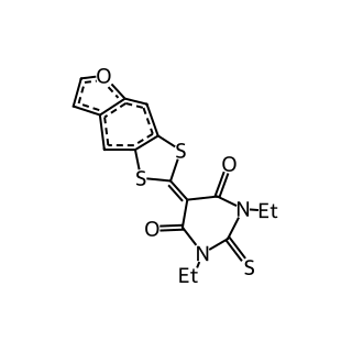 CCN1C(=O)C(=C2Sc3cc4ccoc4cc3S2)C(=O)N(CC)C1=S